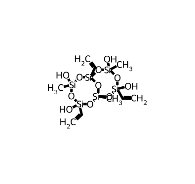 C=C[Si]1(O)O[Si](C)(O)O[Si]2(C=C)O[Si](C)(O)O[Si](O)(C=C)O[Si](C)(O1)O2